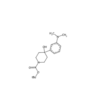 CN(C)c1cccc(C2(O)CCN(C(=O)OC(C)(C)C)CC2)c1